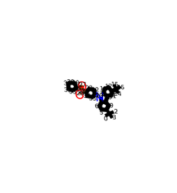 CC(C)(C)c1ccc2c(c1)c1cc(C(C)(C)C)ccc1n2-c1ccc(S(=O)(=O)c2ccccc2)cc1